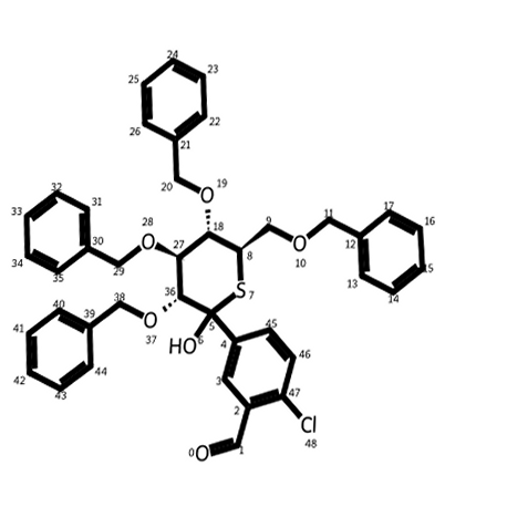 O=Cc1cc(C2(O)S[C@H](COCc3ccccc3)[C@@H](OCc3ccccc3)[C@H](OCc3ccccc3)[C@H]2OCc2ccccc2)ccc1Cl